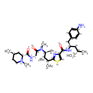 CC[C@H](C)[C@H](NC(=O)[C@H]1C[C@H](C)CCN1C)C(=O)N(C)[C@H](C[C@@H](OC(C)=O)c1nc(C(=O)N[C@@H](Cc2ccc(N)cc2)C[C@H](C)C(=O)O)cs1)C(C)C